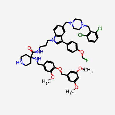 COc1cc(COc2ccc(CNC3(C(=O)NCCCn4cc(-c5ccc(OCF)cc5)c5cc(CN6CCN(Cc7c(Cl)cccc7Cl)CC6)ccc54)CCNCC3)cc2OC)cc(OC)c1